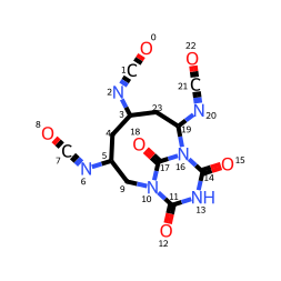 O=C=NC1CC(N=C=O)Cn2c(=O)[nH]c(=O)n(c2=O)C(N=C=O)C1